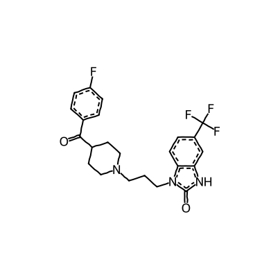 O=C(c1ccc(F)cc1)C1CCN(CCCn2c(=O)[nH]c3cc(C(F)(F)F)ccc32)CC1